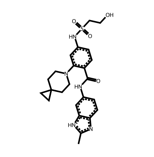 Cc1nc2ccc(NC(=O)c3ccc(NS(=O)(=O)CCO)cc3N3CCC4(CC3)CC4)cc2[nH]1